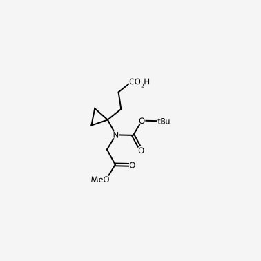 COC(=O)CN(C(=O)OC(C)(C)C)C1(CCC(=O)O)CC1